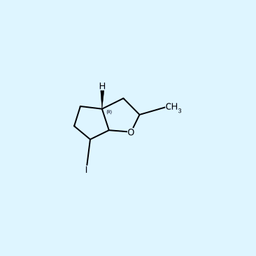 CC1C[C@H]2CCC(I)C2O1